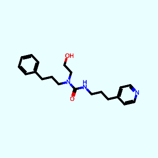 O=C(NCCCc1ccncc1)N(CCO)CCCc1ccccc1